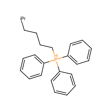 CC(C)CCCC[PH](c1ccccc1)(c1ccccc1)c1ccccc1